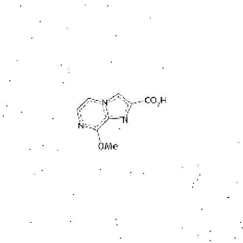 COc1nccn2cc(C(=O)O)nc12